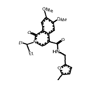 CCC(CC)n1cc(C(=O)NCc2ccc(C)o2)c2cc(OC)c(OC)cc2c1=O